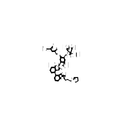 CC(CO)(CO)NCc1cc(Cl)c(CNc2cccc(-c3cccc4c3cnn4CCCN3CCCC3)c2C=N)cc1OCc1cncc(C#N)c1